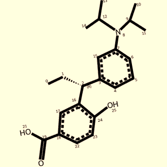 CC[C@H](c1cccc(N(C(C)C)C(C)C)c1)c1cc(C(=O)O)ccc1O